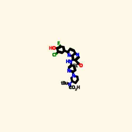 CCC(=O)c1cnc2ccc(-c3cc(F)c(O)c(Cl)c3)nc2c1Nc1ccc(N2CCC[C@@H](N(C(=O)O)C(C)(C)C)C2)nc1